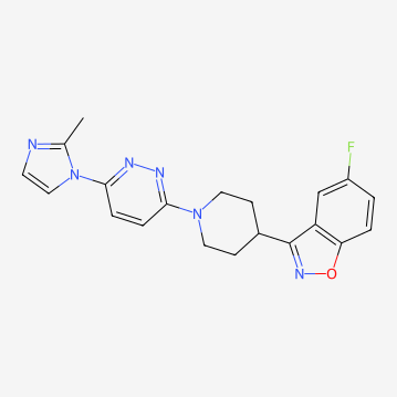 Cc1nccn1-c1ccc(N2CCC(c3noc4ccc(F)cc34)CC2)nn1